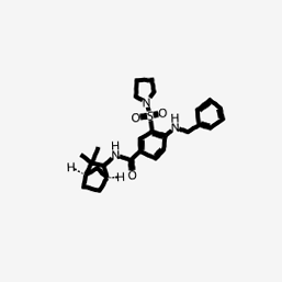 CC1(C)C(NC(=O)c2ccc(NCc3ccccc3)c(S(=O)(=O)N3CCCC3)c2)[C@H]2CC[C@@H]1C2